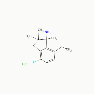 CCc1ccc(F)c2c1C(C)(N)C(C)(C)C2.Cl